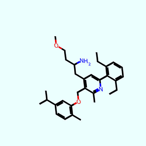 CCc1cccc(CC)c1-c1cc(CC(N)CCOC)c(COc2cc(C(C)C)ccc2C)c(C)n1